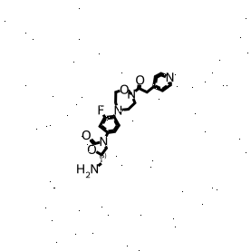 NC[C@H]1CN(c2ccc(N3CCON(C(=O)Cc4ccncc4)CC3)c(F)c2)C(=O)O1